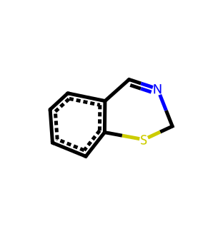 C1=NCSc2ccccc21